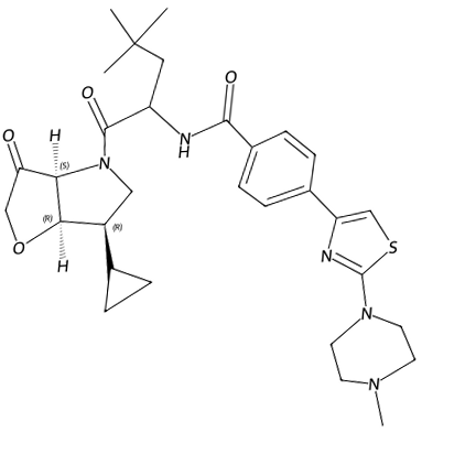 CN1CCN(c2nc(-c3ccc(C(=O)NC(CC(C)(C)C)C(=O)N4C[C@@H](C5CC5)[C@H]5OCC(=O)[C@H]54)cc3)cs2)CC1